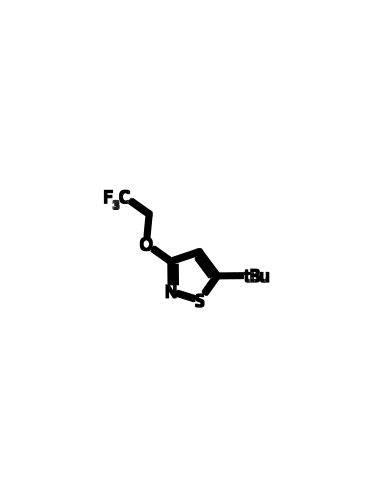 CC(C)(C)c1cc(OCC(F)(F)F)ns1